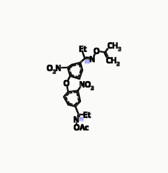 C=C(C)O/N=C(\CC)c1ccc(Oc2ccc(/C(CC)=N/OC(C)=O)cc2[N+](=O)[O-])c([N+](=O)[O-])c1